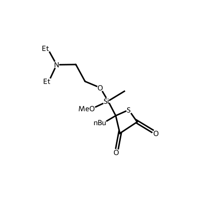 CCCCC1([Si](C)(OC)OCCN(CC)CC)SC(=O)C1=O